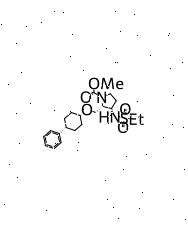 CCS(=O)(=O)N[C@H]1CCN(C(=O)OC)[C@H]1CO[C@H]1CC[C@@H](c2ccccc2)CC1